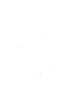 COC(=O)c1cc(F)c(O)c(C=O)c1F